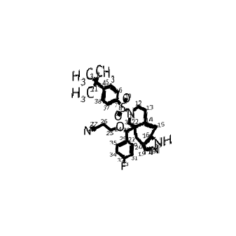 CC(C)(C)c1ccc(S(=O)(=O)N2CCC3=Cc4[nH]ncc4CC3([C@H](OCCC#N)c3ccc(F)cc3)C2)cc1